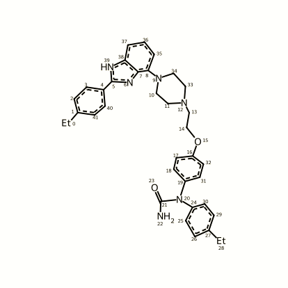 CCc1ccc(-c2nc3c(N4CCN(CCOc5ccc(N(C(N)=O)c6ccc(CC)cc6)cc5)CC4)cccc3[nH]2)cc1